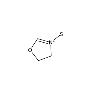 [S-][N+]1=COCC1